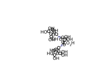 O=C(/C=C/c1ccc2c(c1)OC1(c3ccc(O)c(O)c3)Oc3cc(O)cc(O)c3C(=O)C1(O)O2)O[C@@H]1C[C@@](OC(=O)/C=C/c2ccc3c(c2)OC2(c4ccc(O)c(O)c4)Oc4cc(O)cc(O)c4C(=O)C2(O)O3)(C(=O)O)C[C@@H](O)[C@@H]1O